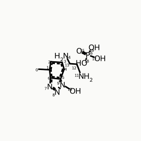 Cc1cccc2c1nnn2O.NCCN.O=P(O)(O)O